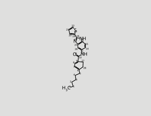 CCCCCCC1=CC=C(C(=O)Nc2ccc3[nH]c(-c4cccs4)nc3c2)CC1